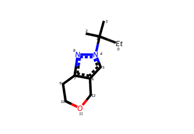 CCC(C)(C)n1cc2c(n1)CCOC2